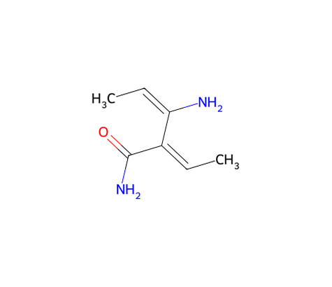 C/C=C(N)\C(=C/C)C(N)=O